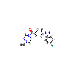 CCC(C)N1CCN(C(=O)C2CCC(Nc3ccc(F)cc3)CC2)CC1